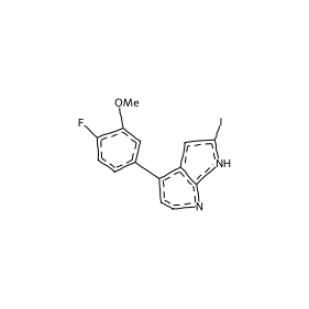 COc1cc(-c2ccnc3[nH]c(I)cc23)ccc1F